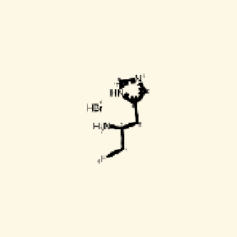 Br.NC(CF)Cc1cnc[nH]1